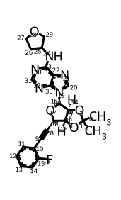 CC1(C)O[C@H]2[C@H](O1)[C@@H](C#Cc1ccccc1F)O[C@H]2n1cnc2c(NC3CCOC3)ncnc21